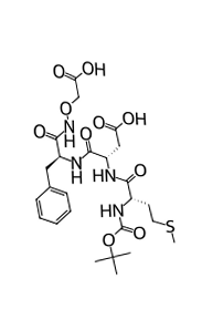 CSCC[C@H](NC(=O)OC(C)(C)C)C(=O)N[C@@H](CC(=O)O)C(=O)N[C@@H](Cc1ccccc1)C(=O)NOCC(=O)O